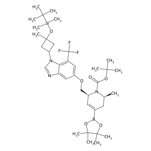 C[C@H]1CC(B2OC(C)(C)C(C)(C)O2)=C[C@@H](COc2cc(C(F)(F)F)c3c(c2)ncn3C2CC(C)(O[Si](C)(C)C(C)(C)C)C2)N1C(=O)OC(C)(C)C